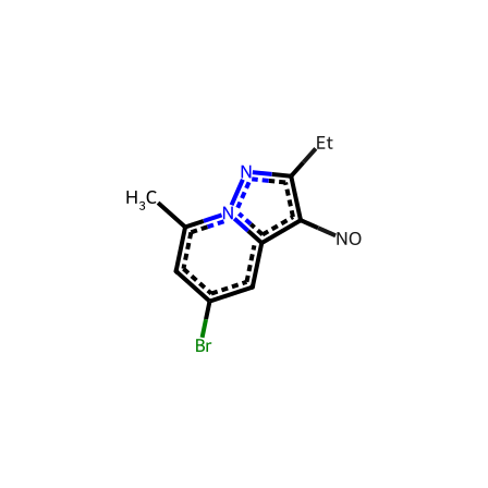 CCc1nn2c(C)cc(Br)cc2c1N=O